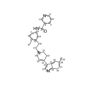 Cc1ccc(NC(=O)c2cccnc2)cc1CCN1CC=C(C2=CN=C3CC=C(F)C=C23)CC1